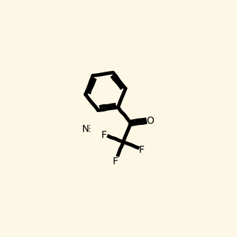 O=C(c1ccccc1)C(F)(F)F.[N]